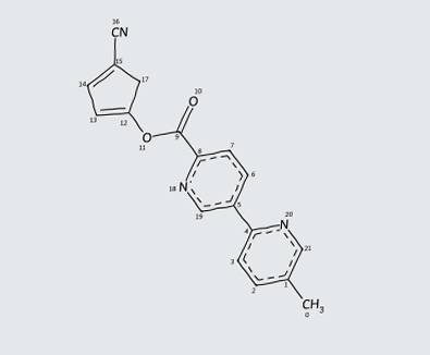 Cc1ccc(-c2ccc(C(=O)OC3=CC=C(C#N)C3)nc2)nc1